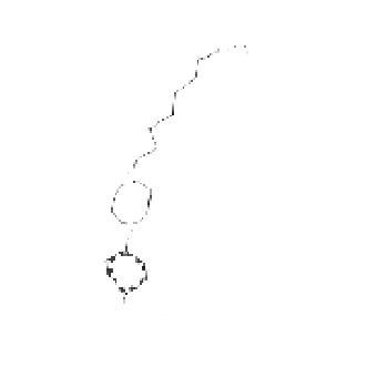 CCOC(=O)c1ccc(N2CCN(CCCCCCCOC)CC2)cc1